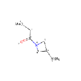 COCC(=O)N1CC(NC(C)=O)C1